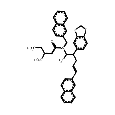 CC(C(C/C=C/c1ccc2ccccc2c1)c1ccc2c(c1)OCO2)N(Cc1ccc2ccccc2c1)C(=O)CC(CC(=O)O)C(=O)O